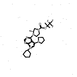 C[C@H]1CN(C(=O)OC(C)(C)C(F)(F)F)CCN1c1ncnc2c1c(N1CCCC1)cn2C1CCCCC1